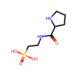 O=C(NCCP(=O)(O)O)C1CCCN1